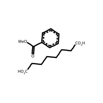 COC(=O)c1cc[c]cc1.O=C(O)CCCCCCC(=O)O